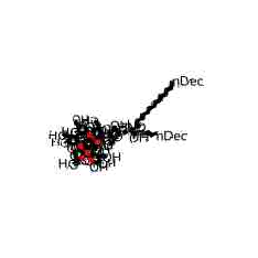 CCCCCCCCCCCCC/C=C/[C@@H](O)[C@H](CO[C@@H]1OC(CO)[C@@H](O[C@@H]2OC(CO)[C@H](O[C@@H]3OC(CO)[C@H](O)[C@H](O[C@@H]4OC(CO)[C@H](O)[C@H](O[C@@H]5OC(CO)[C@H](O)[C@H](O[C@H]6OC(CO)[C@H](O)[C@H](O)C6O)C5O[C@H]5OC(C)[C@@H](O)C(O)[C@@H]5O)C4NC(C)=O)C3O)[C@H](O)C2O)[C@H](O)C1O)NC(=O)CCCCCCCCCCCCCCCCCCCCCCC